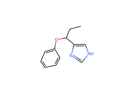 CCC(Oc1cc[c]cc1)c1c[nH]cn1